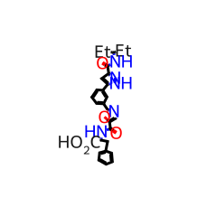 CCC(CC)NC(=O)c1cc(-c2cccc(-c3ncc(C(=O)N[C@@H](Cc4ccccc4)C(=O)O)o3)c2)[nH]n1